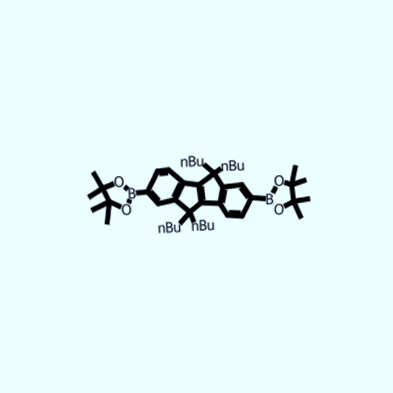 CCCCC1(CCCC)C2=C(c3ccc(B4OC(C)(C)C(C)(C)O4)cc31)C(CCCC)(CCCC)c1cc(B3OC(C)(C)C(C)(C)O3)ccc12